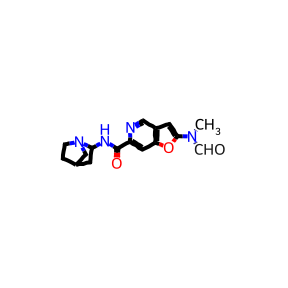 CN(C=O)c1cc2cnc(C(=O)NC3CC4CCN3C4)cc2o1